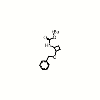 CC(C)(C)OC(=O)NC1CCC1OCc1ccccc1